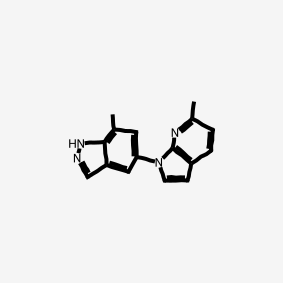 Cc1ccc2ccn(-c3cc(C)c4[nH]ncc4c3)c2n1